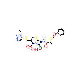 CCn1nncc1SCC1=C(C(=O)O)N2C(=O)[C@H](NC(=O)C(C)SCOc3ccccc3)C2SC1